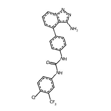 Nc1nnn2cccc(-c3ccc(NC(=O)Nc4ccc(Cl)c(C(F)(F)F)c4)cc3)c12